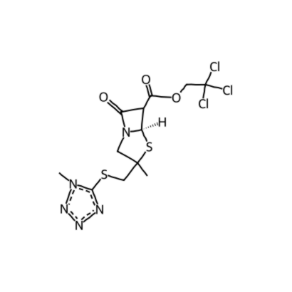 Cn1nnnc1SCC1(C)CN2C(=O)C(C(=O)OCC(Cl)(Cl)Cl)[C@H]2S1